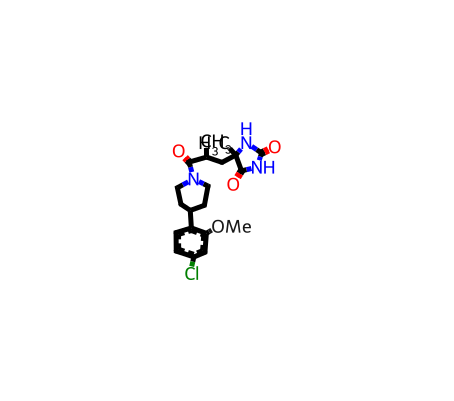 COc1cc(Cl)ccc1C1CCN(C(=O)C(C)CC2(C)NC(=O)NC2=O)CC1